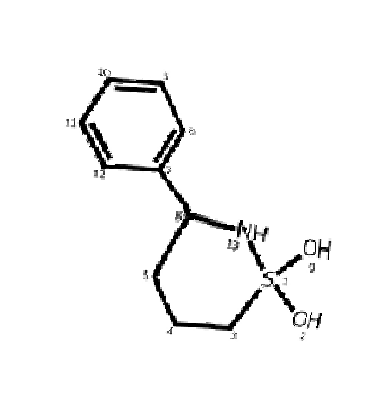 OS1(O)CCCC(c2ccccc2)N1